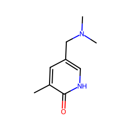 Cc1cc(CN(C)C)c[nH]c1=O